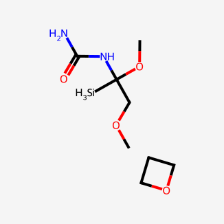 C1COC1.COCC([SiH3])(NC(N)=O)OC